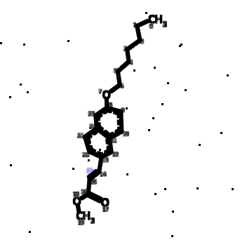 CCCCCCCOc1ccc2cc(/C=C/C(=O)OC)ccc2c1